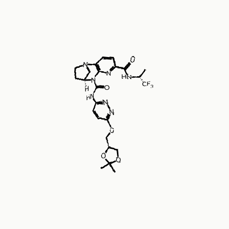 C[C@@H](NC(=O)c1ccc2c(n1)N(C(=O)Nc1ccc(OC[C@H]3COC(C)(C)O3)nn1)[C@H]1CCN2C1)C(F)(F)F